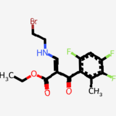 CCOC(=O)C(=CNCCBr)C(=O)c1c(F)cc(F)c(F)c1C